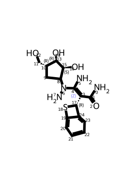 NC(=O)/C(=C(\N)N(N)C1C[C@H](CO)[C@@H](O)[C@H]1O)[C@H]1Sc2ccccc21